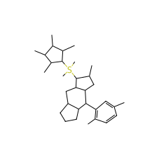 Cc1ccc(C)c(C2C3CCCC3CC3C2CC(C)C3S(C)(C)C2C(C)C(C)C(C)C2C)c1